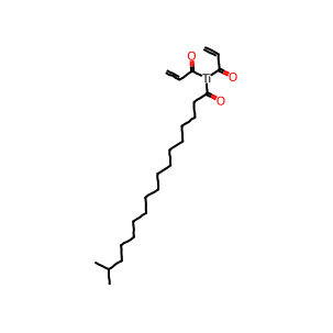 C=C[C](=O)[Ti]([C](=O)C=C)[C](=O)CCCCCCCCCCCCCCC(C)C